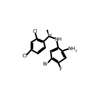 C[C@@H](Nc1cc(Br)c(F)cc1N)c1ccc(Cl)cc1Cl